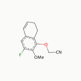 COc1c(F)cc2c(c1OCC#N)CCC=C2